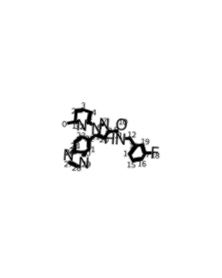 Cc1cccc(-n2nc(C(=O)NCc3cccc(F)c3)cc2-c2ccc3nccnc3c2)n1